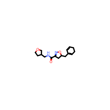 O=C(NCC1CCOC1)C1=NOC(CC2=CCCC=C2)C1